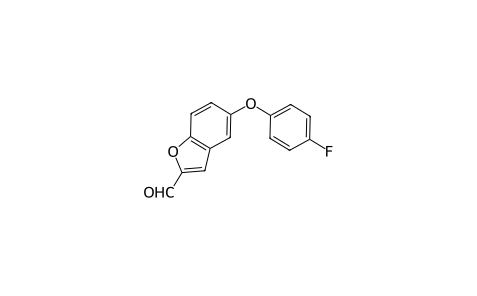 O=Cc1cc2cc(Oc3ccc(F)cc3)ccc2o1